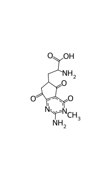 Cn1c(N)nc2c(c1=O)C(=O)C(CC(N)C(=O)O)CC2=O